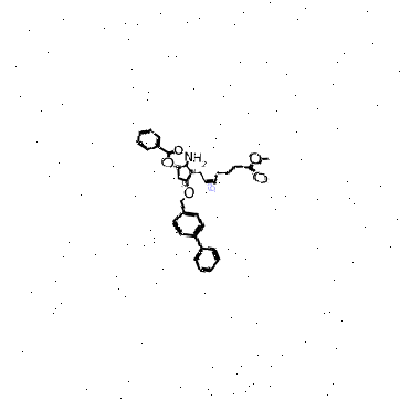 COC(=O)CCC/C=C\C[C@@H]1C(N)[C@H](OC(=O)c2ccccc2)C[C@@H]1OCc1ccc(-c2ccccc2)cc1